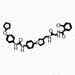 O=C(CNC(=O)c1ccccc1Cl)NCC1CCN(c2ccc(NC(=O)Nc3ccc(OC4CCCC4)cc3)cc2)C1